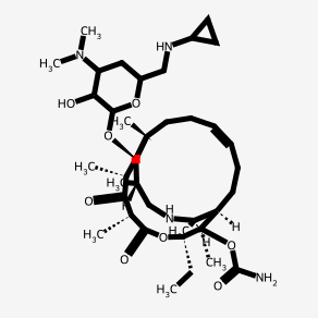 CC[C@@H]1OC(=O)[C@H](C)C(=O)[C@H](C)[C@H](OC2OC(CNC3CC3)CC(N(C)C)C2O)[C@@]2(C)CC/C=C\CC[C@H]([C@@H](C)NC[C@H](C)C2)[C@@]1(C)OC(N)=O